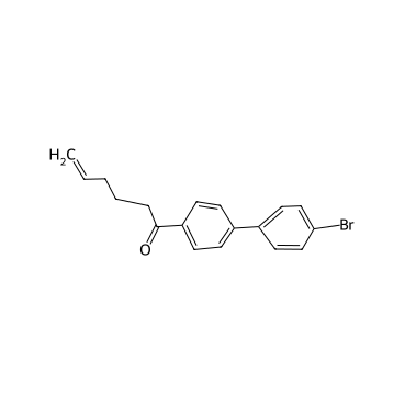 C=CCCCC(=O)c1ccc(-c2ccc(Br)cc2)cc1